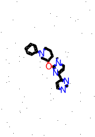 CN1CC=C(c2ccncn2)N=C1OC1CCCN(c2ccccc2)C1